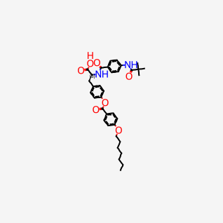 CCCCCCCOc1ccc(C(=O)Oc2ccc(C[C@H](NC(=O)c3ccc(NC(=O)C(C)(C)C)cc3)C(=O)O)cc2)cc1